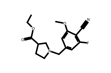 CCOC(=O)C1CCN(Cc2cc(F)c(C#N)c(OC)c2)C1